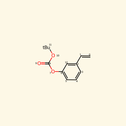 C=Cc1cccc(OC(=O)OC(C)(C)C)c1